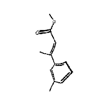 COC(=O)/C=C(\C)c1cccc(C)c1